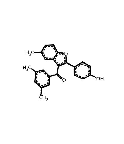 Cc1cc(C)cc(C(=O)c2c(-c3ccc(O)cc3)oc3ccc(C)cc23)c1